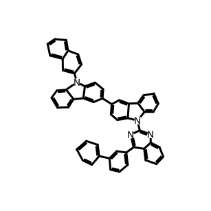 c1ccc(-c2cccc(-c3nc(-n4c5ccccc5c5cc(-c6ccc7c(c6)c6ccccc6n7-c6ccc7ccccc7c6)ccc54)nc4ccccc34)c2)cc1